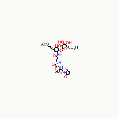 CC(=O)OC/C=C/c1ccc(O[C@@H]2O[C@H](C(=O)O)[C@@H](O)[C@H](O)[C@H]2O)c(NC(=O)CCNC(=O)[C@H](CS(=O)(=O)O)NC(=O)CCN2C(=O)C=CC2=O)c1